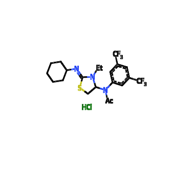 CCN1C(=NC2CCCCC2)SCC1N(C(C)=O)c1cc(C(F)(F)F)cc(C(F)(F)F)c1.Cl